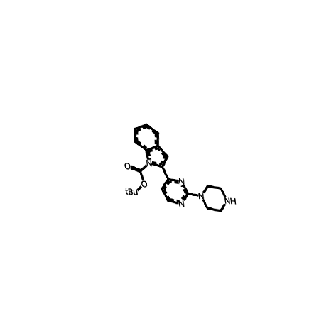 CC(C)(C)OC(=O)n1c(-c2ccnc(N3CCNCC3)n2)cc2ccccc21